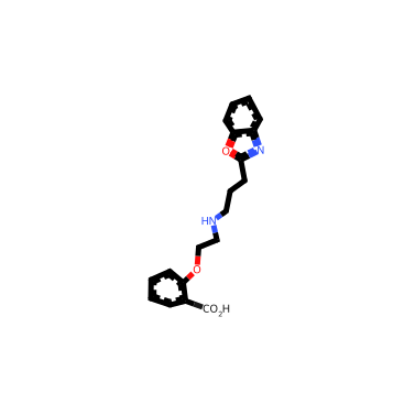 O=C(O)c1ccccc1OCCNCCCc1nc2ccccc2o1